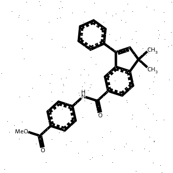 COC(=O)c1ccc(NC(=O)c2ccc3c(c2)C(c2ccccc2)=CC3(C)C)cc1